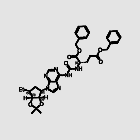 CC[C@H]1C[C@@H](n2cnc3c(NC(=O)N[C@@H](CCC(=O)OCc4ccccc4)C(=O)OCc4ccccc4)ncnc32)[C@@H]2OC(C)(C)O[C@H]12